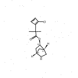 CC(C)(C(=O)O[C@@H]1C[C@@H]2C[C@H]1CN2)C1=C(Cl)C=C1